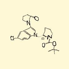 CC(C)(C)OC(=O)N1CCC[C@H]1Cn1cc(N2CCCC2=O)c2cc(Cl)ccc21